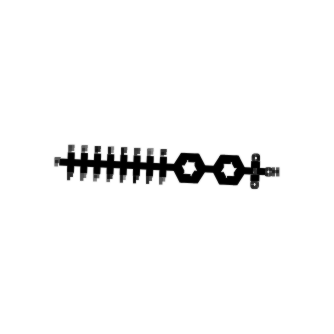 O=S(=O)(O)c1ccc(-c2ccc(C(F)(F)C(F)(F)C(F)(F)C(F)(F)C(F)(F)C(F)(F)C(F)(F)C(F)(F)F)cc2)cc1